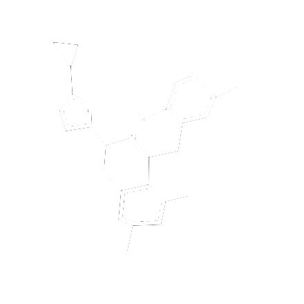 Fc1cc(Cl)cc2c1C(Cc1cc(Cl)ccc1Br)=NC(c1ccc(C3CC3)s1)O2